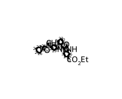 CCOC(=O)c1ccc2c(c1)NC(=O)C2=C(Nc1ccc(N(C)C(=O)CN2CCCCC2)cc1)c1ccccc1